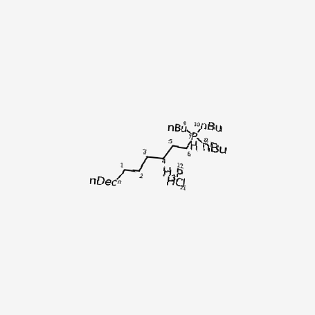 CCCCCCCCCCCCCCCC[PH](CCCC)(CCCC)CCCC.Cl.P